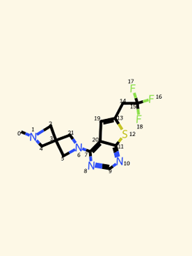 CN1CC2(C1)CN(c1ncnc3sc(CC(F)(F)F)cc13)C2